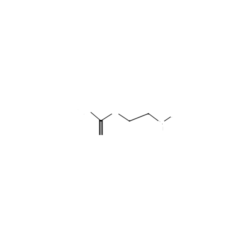 C=C(OCCNCC)C(=O)O